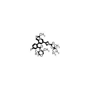 Cc1ncc2c(-c3ccc(F)cc3C(=O)N3[C@H](C)COC[C@H]3C)cc(C3CN(C(=O)OC(C)(C)C)C3)cn12